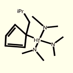 CC(C)C[C]1([Hf]([N](C)C)([N](C)C)[N](C)C)C=CC=C1